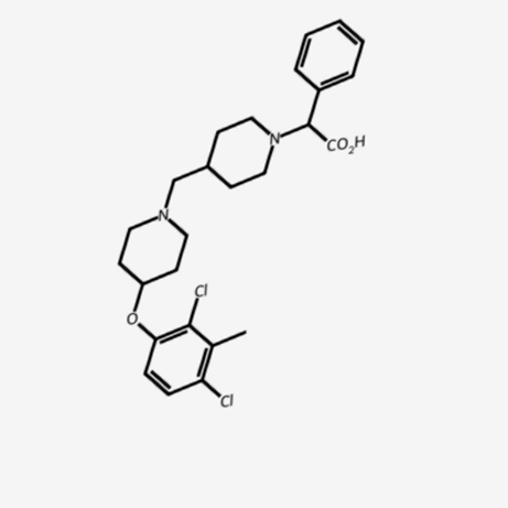 Cc1c(Cl)ccc(OC2CCN(CC3CCN(C(C(=O)O)c4ccccc4)CC3)CC2)c1Cl